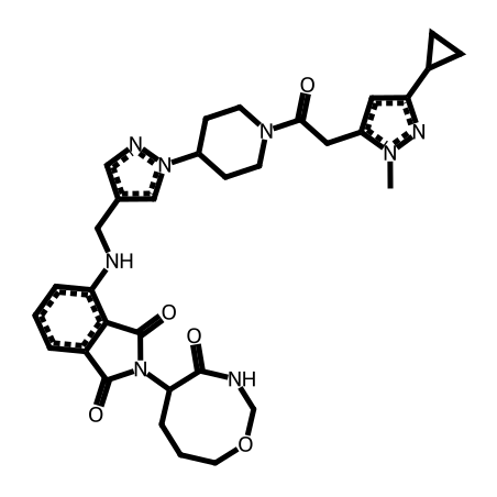 Cn1nc(C2CC2)cc1CC(=O)N1CCC(n2cc(CNc3cccc4c3C(=O)N(C3CCCOCNC3=O)C4=O)cn2)CC1